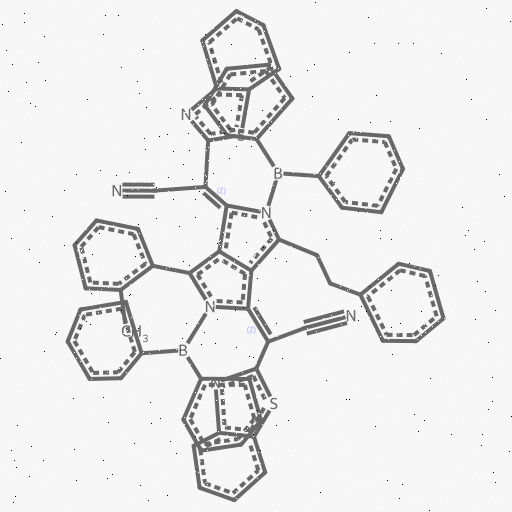 Cc1ccccc1-c1c2/c(=C(\C#N)c3nc4ccccc4s3)n(B(c3ccccc3)c3ccccc3)c(CCc3ccccc3)c2/c(=C(\C#N)c2nc3ccccc3s2)n1B(c1ccccc1)c1ccccc1